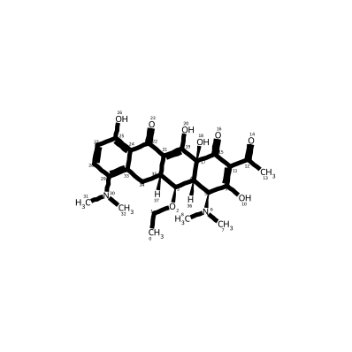 CCO[C@@H]1[C@H]2[C@H](N(C)C)C(O)=C(C(C)=O)C(=O)[C@@]2(O)C(O)=C2C(=O)c3c(O)ccc(N(C)C)c3C[C@H]21